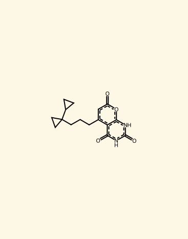 O=c1[nH]c(=O)c2c(CCCC3(C4CC4)CC3)cc(=O)oc2[nH]1